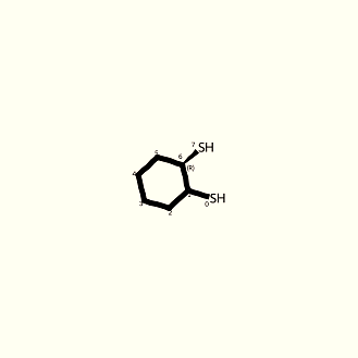 SC1CCCC[C@H]1S